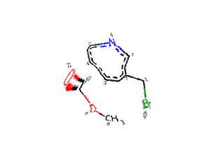 BrCc1cccnc1.COC=O